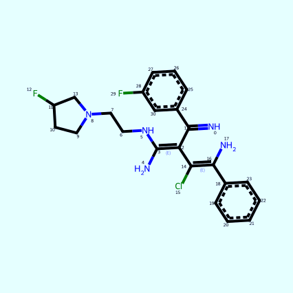 N=C(C(=C(/N)NCCN1CCC(F)C1)/C(Cl)=C(\N)c1ccccc1)c1cccc(F)c1